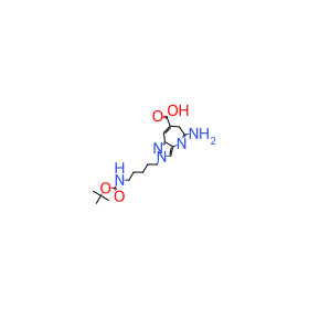 CC(C)(C)OC(=O)NCCCCCn1cc2c(n1)C=C(C(=O)O)CC(N)=N2